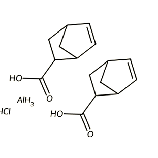 Cl.O=C(O)C1CC2C=CC1C2.O=C(O)C1CC2C=CC1C2.[AlH3]